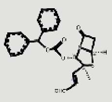 C[C@@]1(/C=C/C=O)S[C@@H]2CC(=O)N2[C@H]1OC(=O)OC(c1ccccc1)c1ccccc1